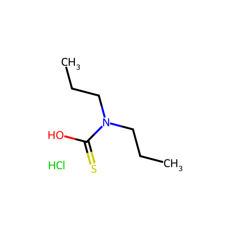 CCCN(CCC)C(O)=S.Cl